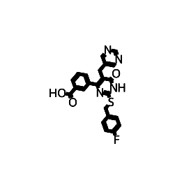 O=C(O)c1cccc(-c2nc(SCc3ccc(F)cc3)[nH]c(=O)c2Cc2cncnc2)c1